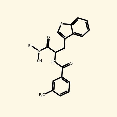 CCN(C#N)C(=O)C(Cc1csc2ccccc12)NC(=O)c1cccc(C(F)(F)F)c1